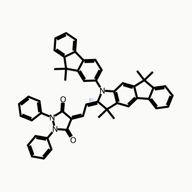 CC1(C)/C(=C\C=C2C(=O)N(c3ccccc3)N(c3ccccc3)C2=O)N(c2ccc3c(c2)C(C)(C)c2ccccc2-3)c2cc3c(cc21)-c1ccccc1C3(C)C